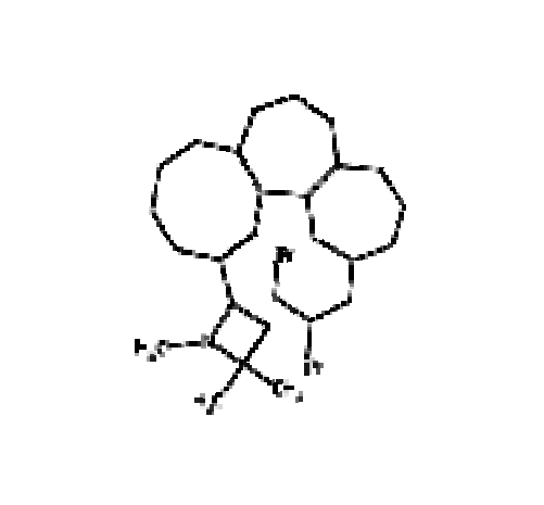 CC(C)CC(CC1CCCC2CCCC3CCCCC(C4CC(C)(C)N4C)CC3C2C1)C(C)C